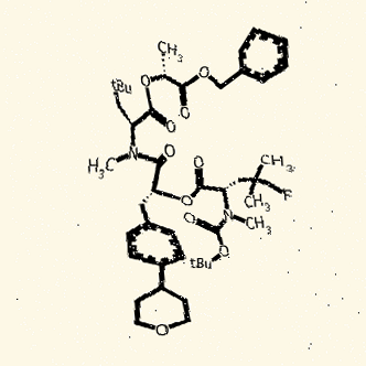 C[C@@H](OC(=O)[C@H](CC(C)(C)C)N(C)C(=O)[C@@H](Cc1ccc(C2CCOCC2)cc1)OC(=O)[C@H](CC(C)(C)F)N(C)C(=O)OC(C)(C)C)C(=O)OCc1ccccc1